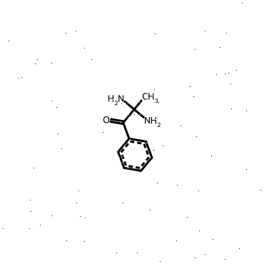 CC(N)(N)C(=O)c1ccccc1